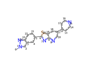 Cn1cc2cc(-c3nc4ncc(-c5ccncc5)cc4s3)ccc2n1